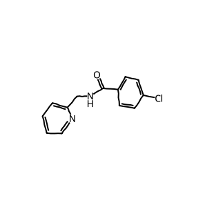 O=C(NCc1ccccn1)c1ccc(Cl)cc1